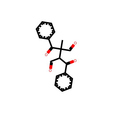 CC([C]=O)(C(=O)c1ccccc1)C([C]=O)C(=O)c1ccccc1